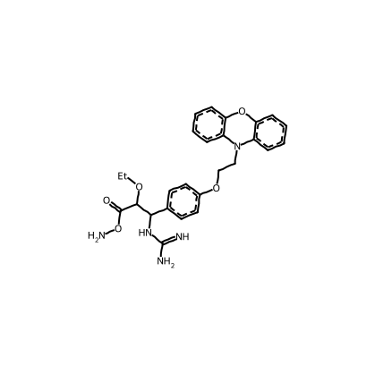 CCOC(C(=O)ON)C(NC(=N)N)c1ccc(OCCN2c3ccccc3Oc3ccccc32)cc1